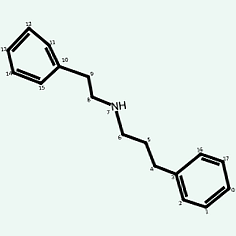 c1ccc(CCCNCCc2ccccc2)cc1